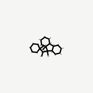 CC(C1(C)CCCCC1)C1(C)C2CCCCC2C2CCCCC21C